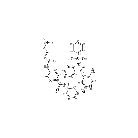 CN(C)CC=CC(=O)Nc1ccc(C(=O)Nc2cccc(Nc3ncc(C#N)c(-c4cn(S(=O)(=O)c5ccccc5)c5ccccc45)n3)c2)cc1